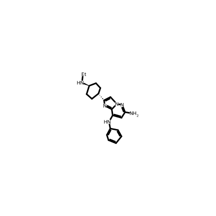 CCN[C@H]1CC[C@H](c2cn3nc(N)cc(Nc4ccccc4)c3n2)CC1